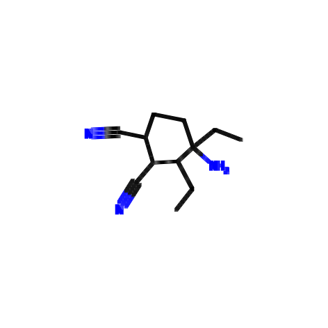 CCC1C(C#N)C(C#N)CCC1(N)CC